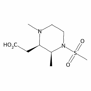 C[C@H]1[C@@H](CC(=O)O)N(C)CCN1S(C)(=O)=O